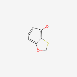 [O]c1cccc2c1SCO2